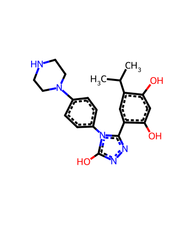 CC(C)c1cc(-c2nnc(O)n2-c2ccc(N3CCNCC3)cc2)c(O)cc1O